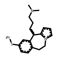 CC(C)Sc1ccc2c(c1)C(=CCCN(C)C)c1cccn1CC2